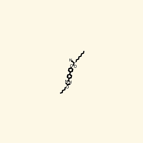 CCCCCCCC[C@@H](C#N)C(=O)Oc1ccc(-c2ccc(-c3ncc(OCCCCC)cn3)cc2)cc1